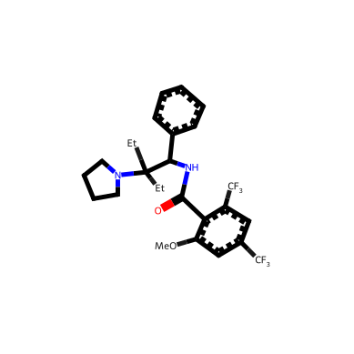 CCC(CC)(C(NC(=O)c1c(OC)cc(C(F)(F)F)cc1C(F)(F)F)c1ccccc1)N1CCCC1